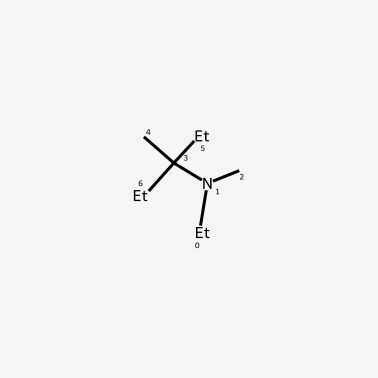 CCN(C)C(C)(CC)CC